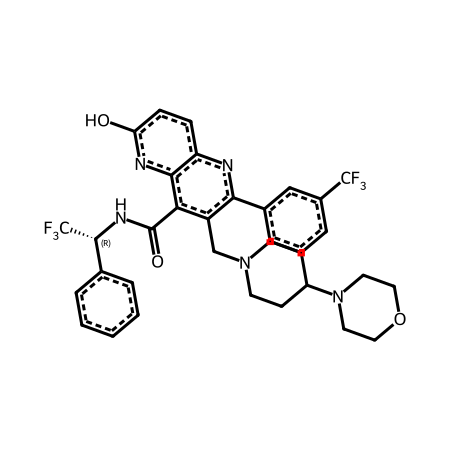 O=C(N[C@H](c1ccccc1)C(F)(F)F)c1c(CN2CCC(N3CCOCC3)CC2)c(-c2cccc(C(F)(F)F)c2)nc2ccc(O)nc12